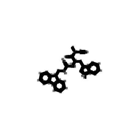 CN(C#N)C(=O)C(Cc1c[nH]c2ccccc12)NC(=O)OCC1c2ccccc2-c2ccccc21